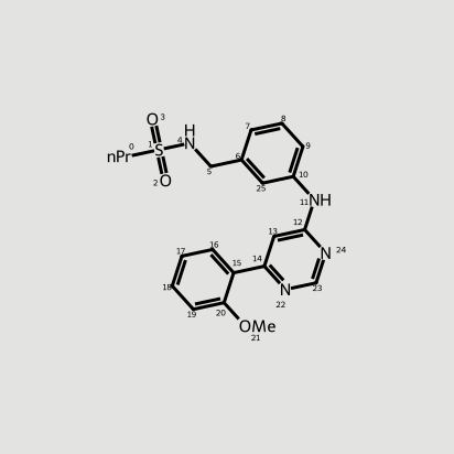 CCCS(=O)(=O)NCc1cccc(Nc2cc(-c3ccccc3OC)ncn2)c1